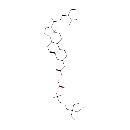 CCC(CCC(C)C1CCC2C3CC=C4CC(CC(=O)CCC(=O)OC(C)(C)COCC(CC)(CC)CO)CCC4(C)C3CCC12C)C(C)C